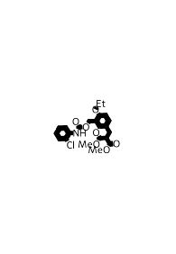 CCOc1ccc(CC(C(=O)OC)C(=O)OC)cc1COC(=O)Nc1ccccc1Cl